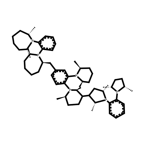 C[C@@H]1CCCC[C@H](Cc2ccc(P3[C@H](C)CCC(C4C[C@H](C)P(c5ccccc5P5[C@H](C)CC[C@@H]5C)[C@@H]4C)[C@@H]3C)c(P3[C@H](C)CCC[C@@H]3C)c2)P1c1ccccc1P1[C@H](C)CCCC[C@@H]1C